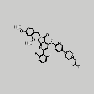 COc1ccc(CN2Cc3nc(-c4c(F)cccc4F)cc(Nc4ccc(N5CCN(CC(F)F)CC5)cn4)c3C2=O)c(OC)c1